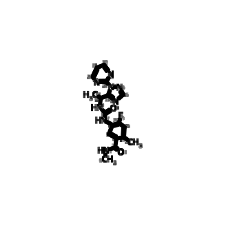 CNC(=O)c1cc(NC(=O)NC(C)c2ncnn2-c2ncccn2)c(F)cc1C